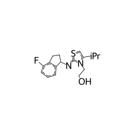 CC(C)c1cs/c(=N\C2CCc3c(F)cccc32)n1CCO